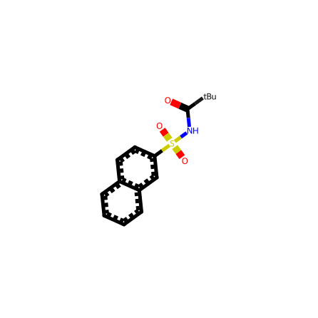 CC(C)(C)C(=O)NS(=O)(=O)c1ccc2ccccc2c1